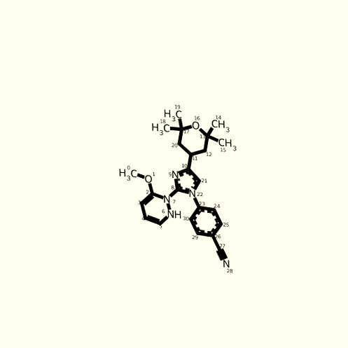 COC1=CC=CNN1c1nc(C2CC(C)(C)OC(C)(C)C2)cn1-c1ccc(C#N)cc1